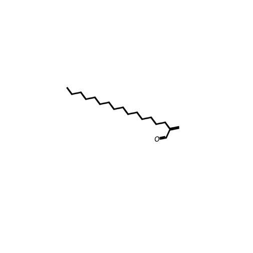 C=C(C=O)CCCCCCCCCCCCCCC